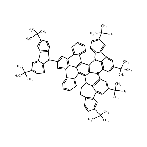 CC(C)(C)c1ccc2c(c1)-c1cc(C(C)(C)C)cc3c1C(CC2)c1c2c(c4c5ccccc5c5cc(-n6c7ccc(C(C)(C)C)cc7c7cc(C(C)(C)C)ccc76)cc6c7ccccc7c1c4c65)-n1c4ccc(C(C)(C)C)cc4c4cc(C(C)(C)C)cc(c41)B32